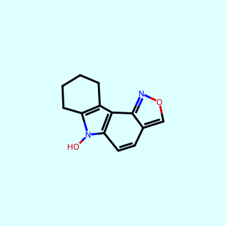 On1c2c(c3c4nocc4ccc31)CCCC2